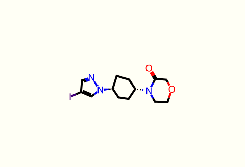 O=C1COCCN1[C@H]1CC[C@H](n2cc(I)cn2)CC1